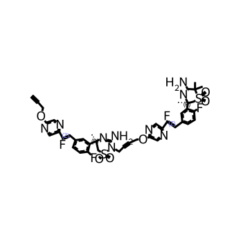 C#CCOc1cnc(/C(F)=C/c2ccc(F)c([C@]3(C)CS(=O)(=O)N(CC#CCOc4cnc(/C(F)=C/c5ccc(F)c([C@]6(C)CS(=O)(=O)C(C)(C)C(N)=N6)c5)cn4)C(N)=N3)c2)cn1